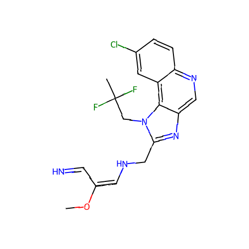 CO/C(C=N)=C/NCc1nc2cnc3ccc(Cl)cc3c2n1CC(C)(F)F